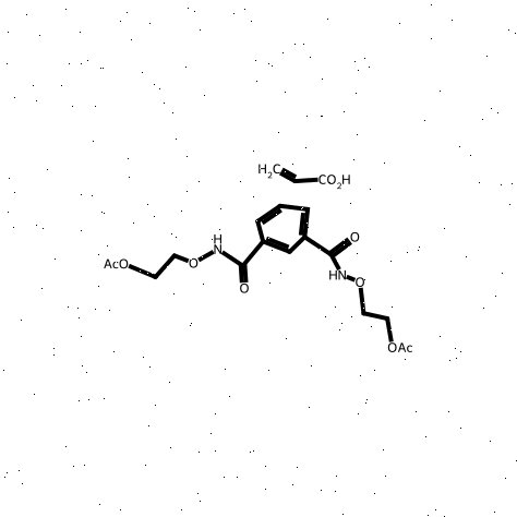 C=CC(=O)O.CC(=O)OCCONC(=O)c1cccc(C(=O)NOCCOC(C)=O)c1